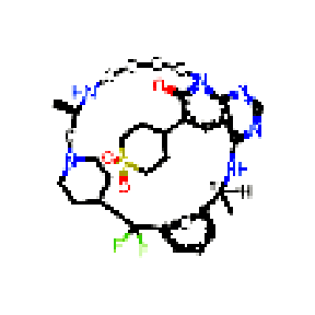 C=C1CN2CCC(CC2)C(F)(F)c2cccc(c2)[C@@H](C)Nc2ncnc3c2cc(C2CCS(=O)(=O)CC2)c(=O)n3CCCCN1